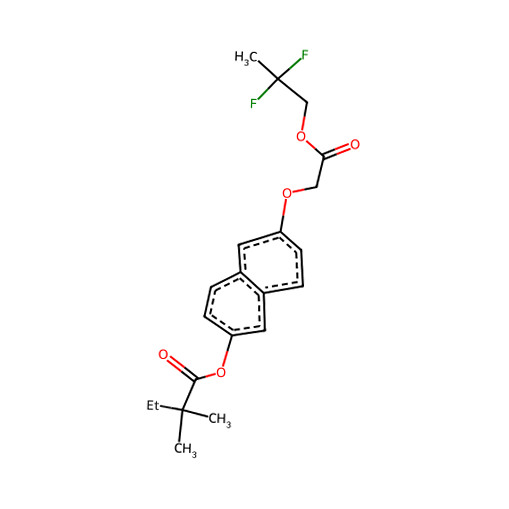 CCC(C)(C)C(=O)Oc1ccc2cc(OCC(=O)OCC(C)(F)F)ccc2c1